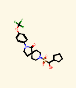 O=C1N(c2ccc(OC(F)(F)F)cc2)CCC12CCN(S(=O)(=O)C(O)C1CCCC1)CC2